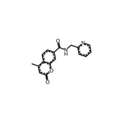 Cc1cc(=O)oc2cc(C(=O)NCc3ccccn3)ccc12